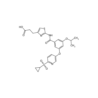 CC(C)Oc1cc(Oc2ccc(S(=O)(=O)C3CC3)nc2)cc(C(=O)Nc2nc(CCC(=O)O)cs2)c1